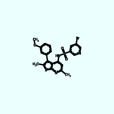 COc1cccc(-c2c(C)sc3nc(C)cc(NS(=O)(=O)c4cncc(Br)c4)c23)c1